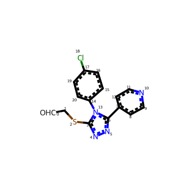 O=CCSc1nnc(-c2ccncc2)n1-c1ccc(Cl)cc1